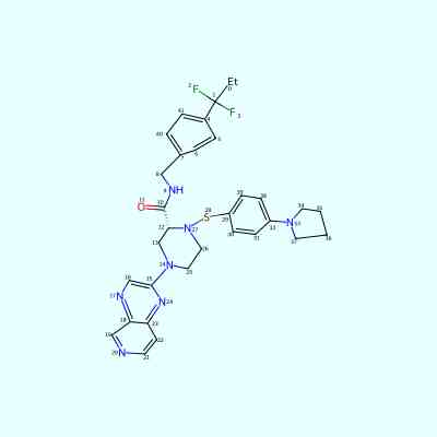 CCC(F)(F)c1ccc(CNC(=O)[C@H]2CN(c3cnc4cnccc4n3)CCN2Sc2ccc(N3CCCC3)cc2)cc1